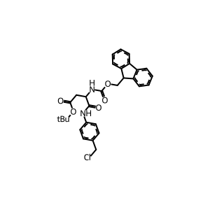 CC(C)(C)OC(=O)CC(NC(=O)OCC1c2ccccc2-c2ccccc21)C(=O)Nc1ccc(CCl)cc1